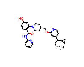 O=C(O)CC(c1ccnc(OCC2CCN(c3cc(O)ccc3C(=O)Nc3ccccn3)CC2)c1)C1CC1